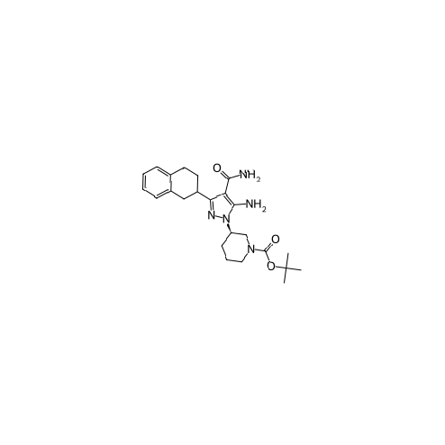 CC(C)(C)OC(=O)N1CCC[C@@H](n2nc(C3CCc4ccccc4C3)c(C(N)=O)c2N)C1